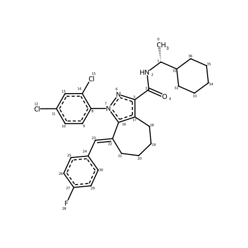 C[C@@H](NC(=O)c1nn(-c2ccc(Cl)cc2Cl)c2c1CCCC/C2=C\c1ccc(F)cc1)C1CCCCC1